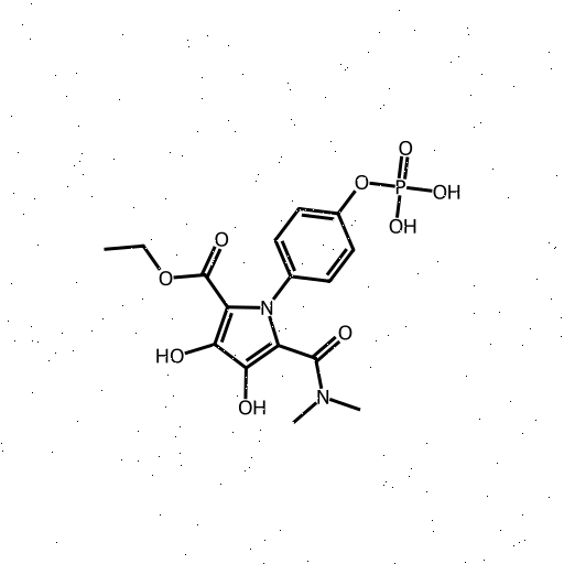 CCOC(=O)c1c(O)c(O)c(C(=O)N(C)C)n1-c1ccc(OP(=O)(O)O)cc1